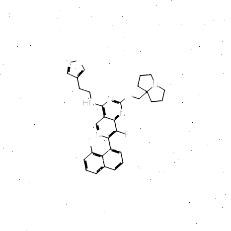 Fc1c(-c2cccc3cccc(F)c23)ncc2c(NCCc3cnoc3)nc(OCC34CCCN3CCC4)nc12